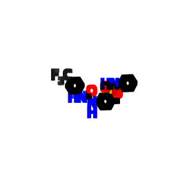 Cc1ccc(NC(=O)Nc2ccc(C(F)(F)F)cc2)cc1S(=O)(=O)Nc1ccccc1